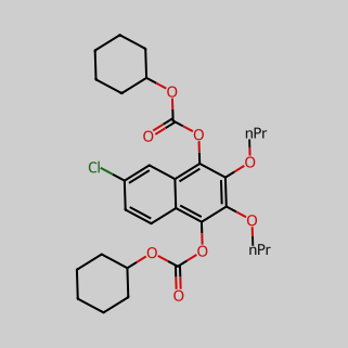 CCCOc1c(OCCC)c(OC(=O)OC2CCCCC2)c2cc(Cl)ccc2c1OC(=O)OC1CCCCC1